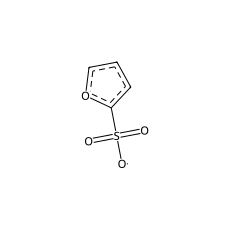 [O]S(=O)(=O)c1ccco1